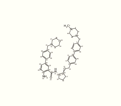 CN1CCN(Cc2ccc(-c3ccc(CO[C@H]4CCC[C@@H]4NC(=O)c4cc(-c5ccc(CN6CCOCC6)cc5)cnc4N)cc3)cc2)CC1